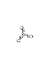 c1c(CN=C2CCCCC2)cc(CN=C2CCCCC2)cc1CN=C1CCCCC1